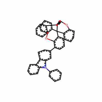 c1ccc(-c2cccc3c2C2(c4ccccc4O3)c3ccccc3Oc3c(-c4ccc5c6ccccc6n(-c6ccccc6)c5c4)cccc32)cc1